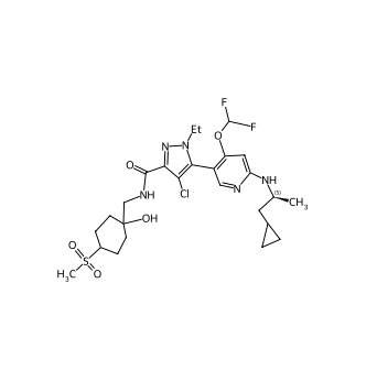 CCn1nc(C(=O)NCC2(O)CCC(S(C)(=O)=O)CC2)c(Cl)c1-c1cnc(N[C@@H](C)CC2CC2)cc1OC(F)F